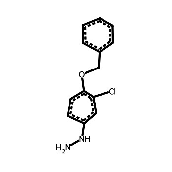 NNc1ccc(OCc2ccccc2)c(Cl)c1